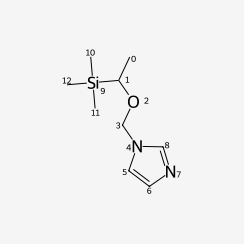 CC(OCn1ccnc1)[Si](C)(C)C